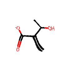 C=C(C([O])=O)C(C)O